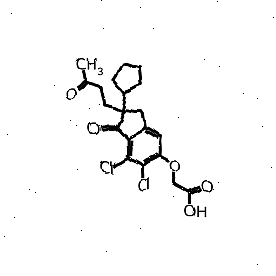 CC(=O)CCC1(C2CCCC2)Cc2cc(OCC(=O)O)c(Cl)c(Cl)c2C1=O